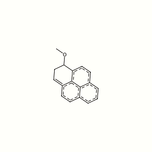 COC1CC=c2ccc3cccc4ccc1c2c43